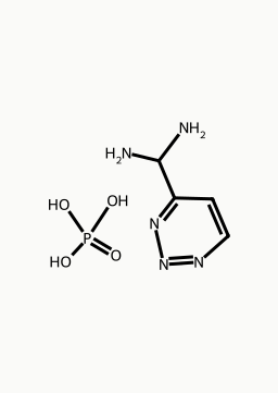 NC(N)c1ccnnn1.O=P(O)(O)O